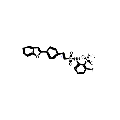 NS(=O)(=O)c1c(F)cccc1NS(=O)(=O)/C=C/c1ccc(-c2cc3ccccc3o2)cc1